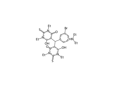 CCNCC.CCn1c(O)c(C(c2cccc(Br)c2)c2c(O)n(CC)c(=S)n(CC)c2=O)c(=O)n(CC)c1=S